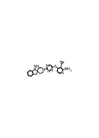 Nc1nccc(Sc2cnc(N3CCC4(CC3)Cc3ccccc3[C@H]4N)nn2)c1C1CC1